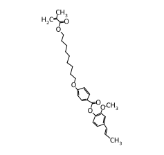 C=C(C)C(=O)OCCCCCCCCCOc1ccc(C(=O)Oc2ccc(/C=C/C)cc2OC)cc1